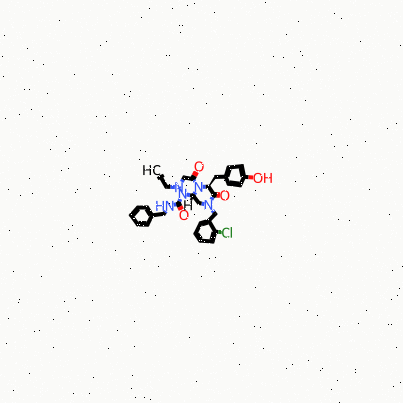 C#CCN1CC(=O)N2[C@@H](Cc3ccc(O)cc3)C(=O)N(Cc3ccccc3Cl)C[C@@H]2N1C(=O)NCc1ccccc1